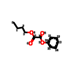 CCCCOC(=O)C(=O)Oc1ccccc1